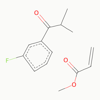 C=CC(=O)OC.CC(C)C(=O)c1cccc(F)c1